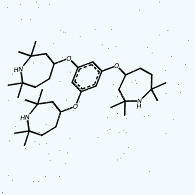 CC1(C)CCC(Oc2cc(OC3CCC(C)(C)NC(C)(C)C3)cc(OC3CCC(C)(C)NC(C)(C)C3)c2)CC(C)(C)N1